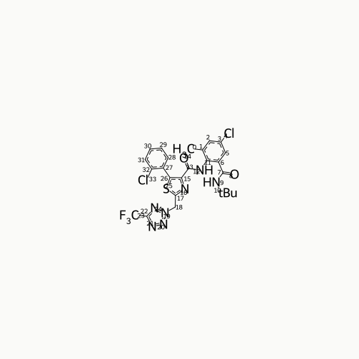 Cc1cc(Cl)cc(C(=O)NC(C)(C)C)c1NC(=O)c1nc(Cn2nnc(C(F)(F)F)n2)sc1-c1ccccc1Cl